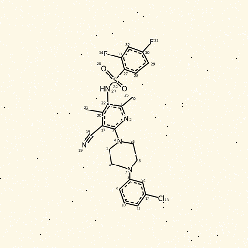 Cc1nc(N2CCN(c3cccc(Cl)c3)CC2)c(C#N)c(C)c1NS(=O)(=O)c1ccc(F)cc1F